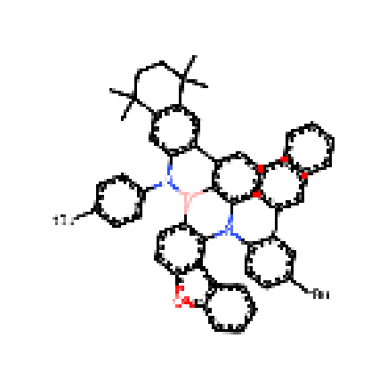 CC(C)(C)c1ccc(N2B3c4ccc5oc6ccccc6c5c4N(c4ccc(C(C)(C)C)cc4-c4ccccc4)c4cc(-c5ccccc5)cc(c43)-c3cc4c(cc32)C(C)(C)CCC4(C)C)cc1